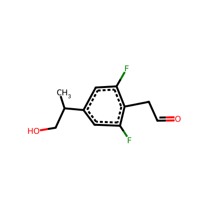 CC(CO)c1cc(F)c(CC=O)c(F)c1